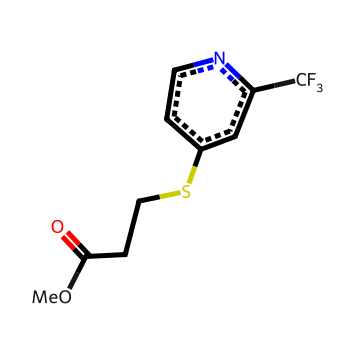 COC(=O)CCSc1ccnc(C(F)(F)F)c1